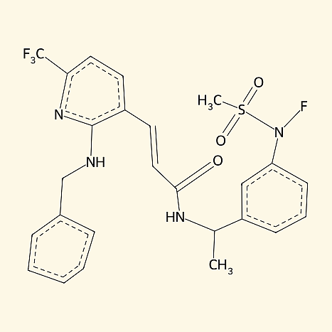 CC(NC(=O)C=Cc1ccc(C(F)(F)F)nc1NCc1ccccc1)c1cccc(N(F)S(C)(=O)=O)c1